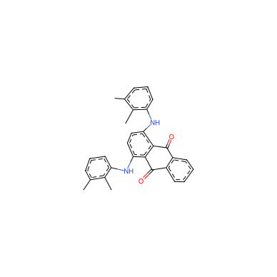 Cc1cccc(Nc2ccc(Nc3cccc(C)c3C)c3c2C(=O)c2ccccc2C3=O)c1C